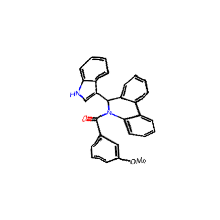 COc1cccc(C(=O)N2c3ccccc3-c3ccccc3C2c2c[nH]c3ccccc23)c1